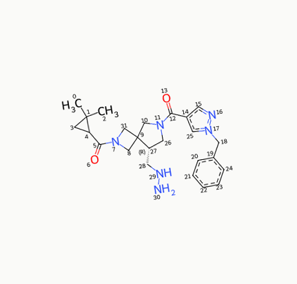 CC1(C)CC1C(=O)N1CC2(CN(C(=O)c3cnn(Cc4ccccc4)c3)C[C@@H]2CNN)C1